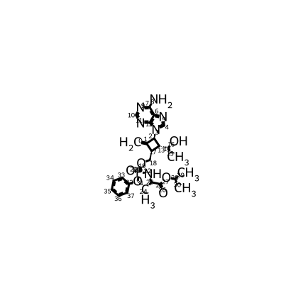 C=C1[C@@H](n2cnc3c(N)ncnc32)[C@H](C(C)O)[C@H]1COP(=O)(NC(C)C(=O)OC(C)C)Oc1ccccc1